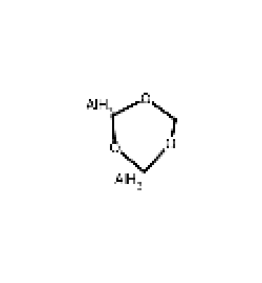 C1OCOCO1.[AlH3].[AlH3]